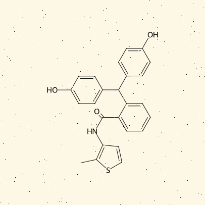 Cc1sccc1NC(=O)c1ccccc1C(c1ccc(O)cc1)c1ccc(O)cc1